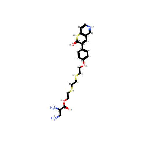 NCC(N)C(=O)OCCSCCSCCOc1ccc(-c2cc3cnccc3sc2=O)cc1